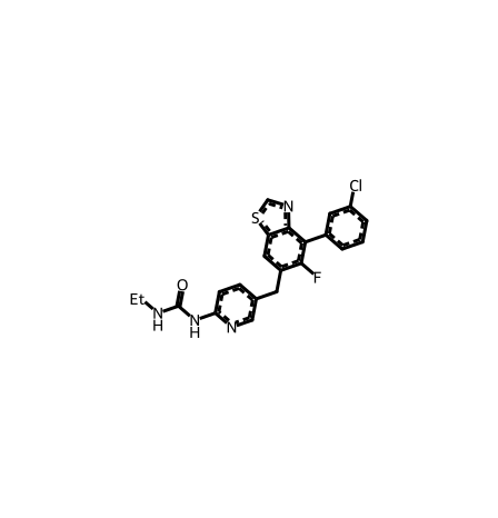 CCNC(=O)Nc1ccc(Cc2cc3scnc3c(-c3cccc(Cl)c3)c2F)cn1